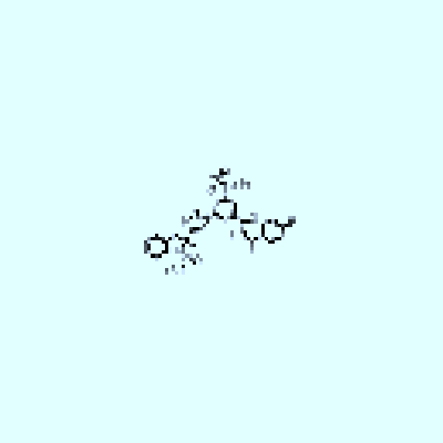 CCCN(c1cc(C(=O)N[C@H](C)c2ccc(F)cc2)cc(-n2cc(C(C)(Cc3ccccc3)N[S+]([O-])C(C)(C)C)nn2)c1)S(C)(=O)=O